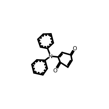 O=C1C=CC(=O)C(N(c2ccccc2)c2ccccc2)=C1